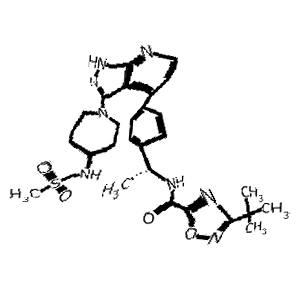 C[C@@H](NC(=O)c1nc(C(C)(C)C)no1)c1ccc(-c2ccnc3[nH]nc(N4CCC(NS(C)(=O)=O)CC4)c23)cc1